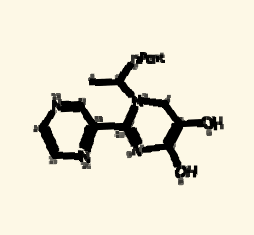 CCCCCC(C)N1CC(O)=C(O)N=C1c1cnccn1